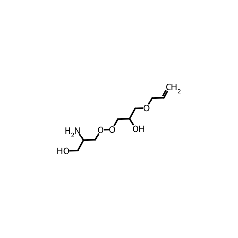 C=CCOCC(O)COOCC(N)CO